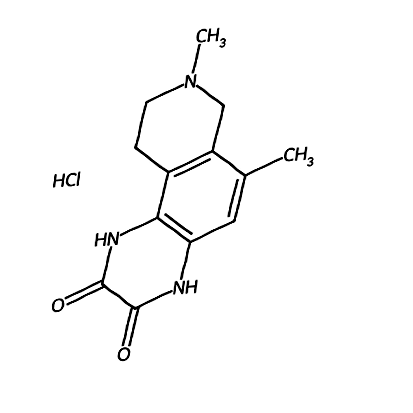 Cc1cc2[nH]c(=O)c(=O)[nH]c2c2c1CN(C)CC2.Cl